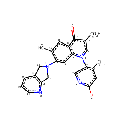 Cc1cc(O)ncc1-n1cc(C(=O)O)c(=O)c2cc(C#N)c(N3Cc4cccnc4C3)cc21